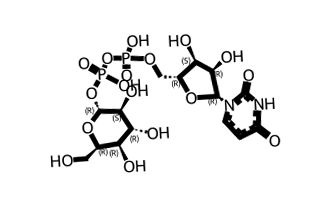 O=c1ccn([C@@H]2O[C@H](COP(=O)(O)OP(=O)(O)O[C@H]3O[C@H](CO)[C@H](O)[C@@H](O)[C@@H]3O)[C@@H](O)[C@H]2O)c(=O)[nH]1